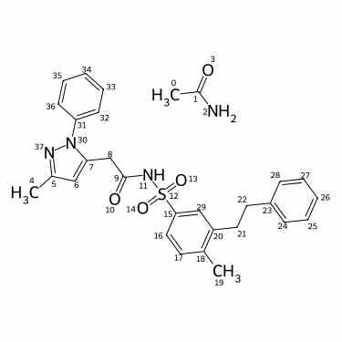 CC(N)=O.Cc1cc(CC(=O)NS(=O)(=O)c2ccc(C)c(CCc3ccccc3)c2)n(-c2ccccc2)n1